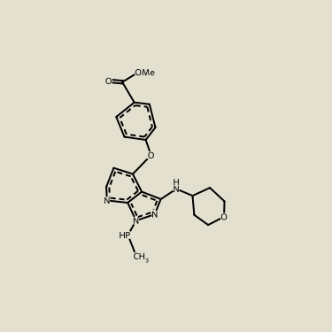 COC(=O)c1ccc(Oc2ccnc3c2c(NC2CCOCC2)nn3PC)cc1